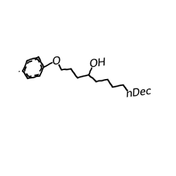 CCCCCCCCCCCCCCC(O)CCCOc1cc[c]cc1